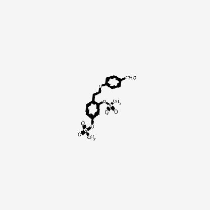 CS(=O)(=O)Oc1ccc(CCOc2ccc(C=O)cc2)c(OS(C)(=O)=O)c1